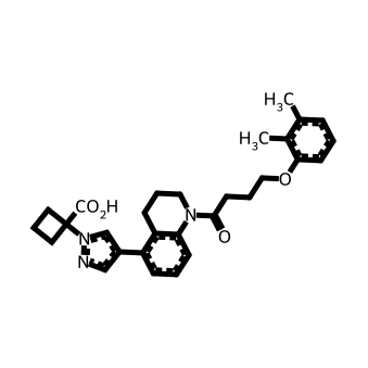 Cc1cccc(OCCCC(=O)N2CCCc3c(-c4cnn(C5(C(=O)O)CCC5)c4)cccc32)c1C